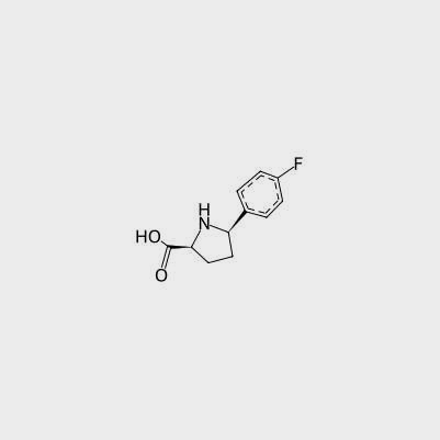 O=C(O)[C@@H]1CC[C@H](c2ccc(F)cc2)N1